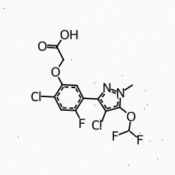 Cn1nc(-c2cc(OCC(=O)O)c(Cl)cc2F)c(Cl)c1OC(F)F